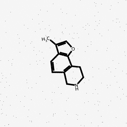 Cc1coc2c3c(ccc12)CNCC3